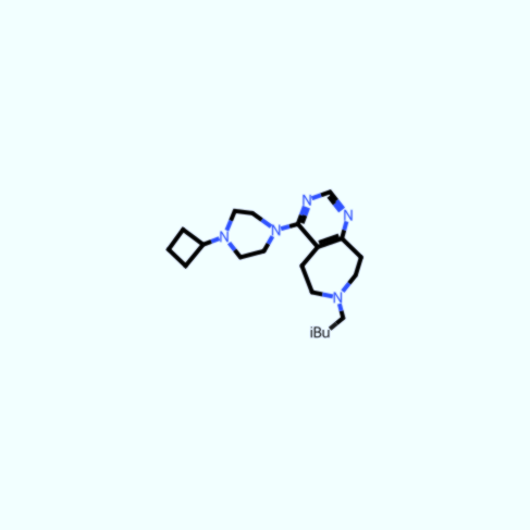 CCC(C)CN1CCc2ncnc(N3CCN(C4CCC4)CC3)c2CC1